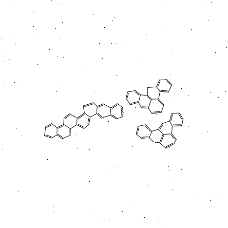 c1ccc2c(c1)Cc1c3ccccc3cc3cccc-2c13.c1ccc2c(c1)Cc1cccc3c1c-2cc1ccccc13.c1ccc2cc3c(ccc4c3ccc3c5ccc6ccccc6c5ccc43)cc2c1